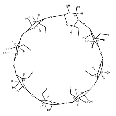 OC1C2OC3[C@H](O)C(O)C(OC4[C@H](O)C(O)C(OC5[C@H](O)C(O)C(OC6[C@H](O)C(O)C(OC7[C@H](O)C(O)C(OC8[C@H](O)C(O)C(OC9[C@H](O)C(O)C(OC([C@@H]1O)[C@@H](CI)O2)O[C@@H]9CI)O[C@@H]8CI)O[C@@H]7CI)O[C@@H]6CI)O[C@@H]5CI)O[C@@H]4CI)O[C@@H]3CI